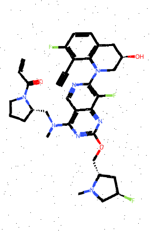 C#Cc1c(F)ccc2c1N(c1ncc3c(N(C)C[C@@H]4CCCN4C(=O)C=C)nc(OC[C@@H]4C[C@@H](F)CN4C)nc3c1F)C[C@H](O)C2